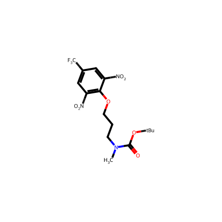 CN(CCCOc1c([N+](=O)[O-])cc(C(F)(F)F)cc1[N+](=O)[O-])C(=O)OC(C)(C)C